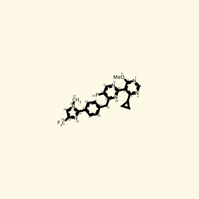 COc1ncnc(C2CC2)c1-c1ncc(F)c(Cc2ccc(-c3nc(C(F)(F)F)cn3C)cc2)n1